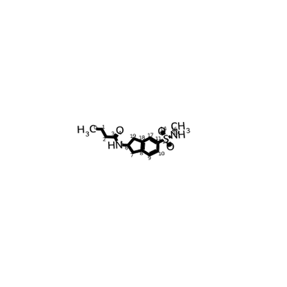 CCCC(=O)NC1Cc2ccc(S(=O)(=O)NC)cc2C1